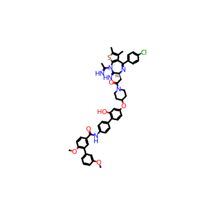 COc1cccc(-c2cc(C(=O)Nc3ccc(-c4ccc(OC5CCN(C(=O)C[C@@H]6N=C(c7ccc(Cl)cc7)c7c(sc(C)c7C)N(C(C)=N)C6=N)CC5)cc4O)cc3)ccc2OC)c1